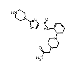 NC(=O)CN1CCN(c2ccccc2NC(=O)c2csc(N3CCNCC3)n2)CC1